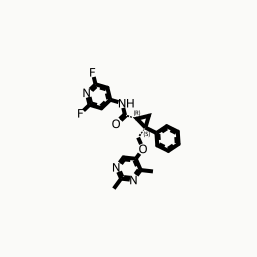 Cc1ncc(OC[C@@]2(c3ccccc3)C[C@H]2C(=O)Nc2cc(F)nc(F)c2)c(C)n1